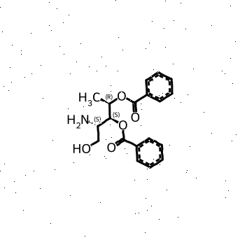 C[C@@H](OC(=O)c1ccccc1)[C@@H](OC(=O)c1ccccc1)[C@@H](N)CO